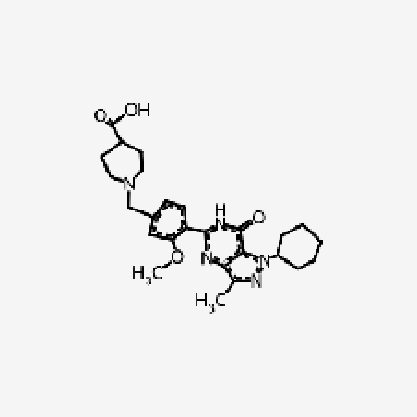 COc1cc(CN2CCC(C(=O)O)CC2)ccc1-c1nc2c(C)nn(C3CCCCC3)c2c(=O)[nH]1